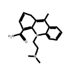 CC1=C2CC=CC(C(N)=O)=C2N(CCN(C)C)c2ccccc21